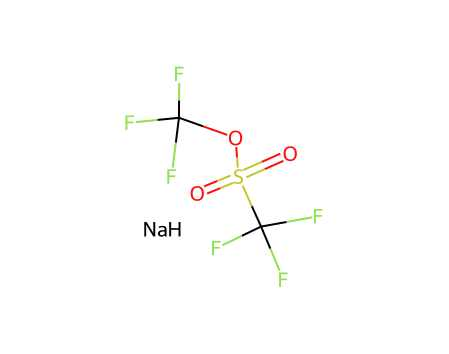 O=S(=O)(OC(F)(F)F)C(F)(F)F.[NaH]